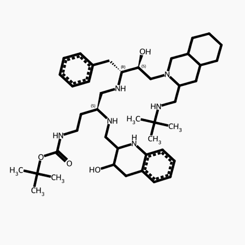 CC(C)(C)NCC1CC2CCCCC2CN1C[C@H](O)[C@@H](Cc1ccccc1)NC[C@H](CCNC(=O)OC(C)(C)C)NCC1Nc2ccccc2CC1O